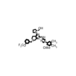 COc1cc(-n2cnc(Nc3nc4c(c(N5CCC[C@H]5CO)n3)CCN(Cc3cccc(OC(F)(F)F)c3)C4)c2)cc(C)c1C